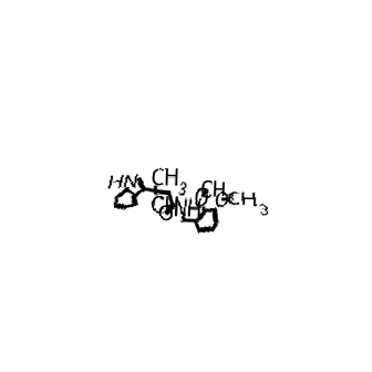 COc1cccc(CNC(=O)CC(C)(C)c2c[nH]c3ccccc23)c1OC